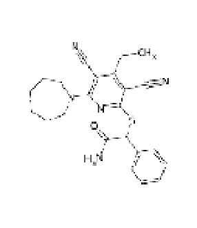 CCc1c(C#N)c(SC(C(N)=O)c2ccccc2)nc(N2CCCCCC2)c1C#N